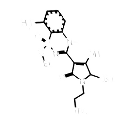 CCOP1(=O)N=C(C2=C(O)C(C(C)(C)C)N(CCC(C)(C)C)C2=O)Nc2cccc(P)c21